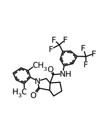 Cc1cccc(C)c1N1CC2(C(=O)Nc3cc(C(F)(F)F)cc(C(F)(F)F)c3)CCCC2C1=O